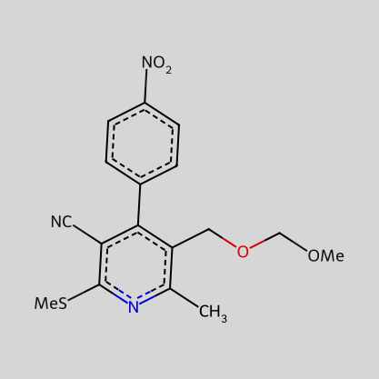 COCOCc1c(C)nc(SC)c(C#N)c1-c1ccc([N+](=O)[O-])cc1